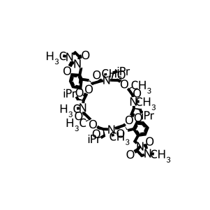 CC(C)C[C@H]1C(=O)O[C@H](Cc2ccccc2CN2C(=O)CN(C)C2=O)C(=O)N(C)[C@@H](CC(C)C)C(=O)O[C@H](C)C(=O)N(C)[C@@H](CC(C)C)C(=O)O[C@H](Cc2ccccc2CN2C(=O)CN(C)C2=O)C(=O)N(C)[C@@H](CC(C)C)C(=O)O[C@H](C)C(=O)N1C